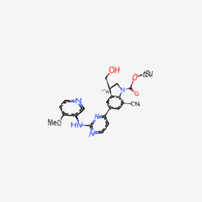 COc1ccncc1Nc1nccc(-c2cc(C#N)c3c(c2)[C@@](C)(CO)CN3C(=O)OC(C)(C)C)n1